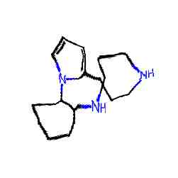 c1cc2n(c1)C1CCCCC1NC21CCNCC1